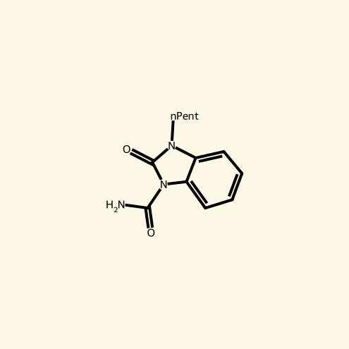 CCCCCn1c(=O)n(C(N)=O)c2ccccc21